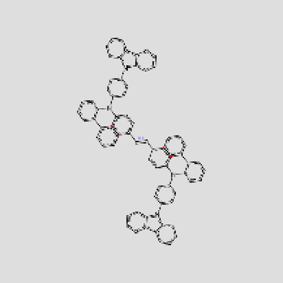 C1=C=C(N(c2ccc(-n3c4ccccc4c4ccccc43)cc2)c2ccccc2-c2ccccc2)C=CC=1/C=C/c1ccc(N(c2ccc(-n3c4ccccc4c4ccccc43)cc2)c2ccccc2-c2ccccc2)cc1